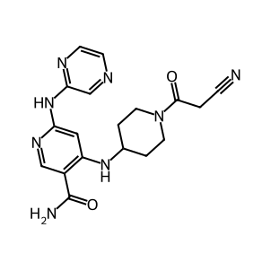 N#CCC(=O)N1CCC(Nc2cc(Nc3cnccn3)ncc2C(N)=O)CC1